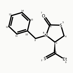 CCC(=S)[C@@H]1CSC(=O)N1Cc1ccccc1